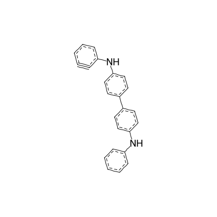 c1cccc(Nc2ccc(-c3ccc(Nc4ccccc4)cc3)cc2)c#1